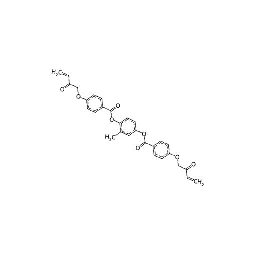 C=CC(=O)COc1ccc(C(=O)Oc2ccc(OC(=O)c3ccc(OCC(=O)C=C)cc3)c(C)c2)cc1